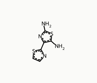 Nc1nc(-c2nccs2)c(N)s1